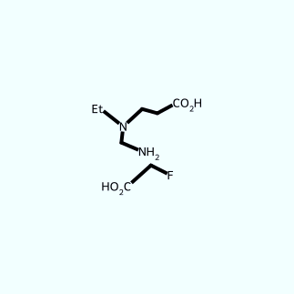 CCN(CN)CCC(=O)O.O=C(O)CF